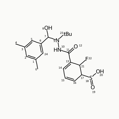 Cc1cc(C)cc(C(O)N(NC(=O)C2=CC=CC(S(=O)O)C2F)C(C)(C)C)c1